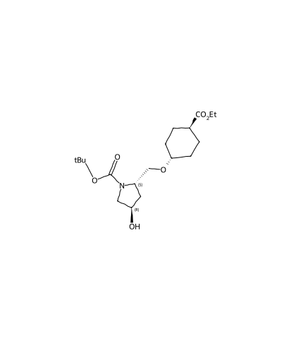 CCOC(=O)[C@H]1CC[C@H](OC[C@@H]2C[C@@H](O)CN2C(=O)OC(C)(C)C)CC1